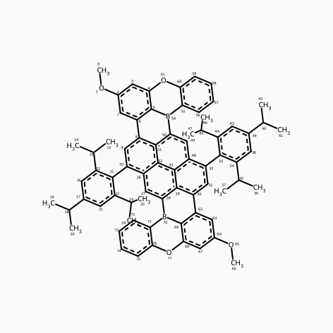 COc1cc2c3c(c1)-c1cc(-c4c(C(C)C)cc(C(C)C)cc4C(C)C)c4cc5c6c(cc(-c7c(C(C)C)cc(C(C)C)cc7C(C)C)c7cc(c1c4c76)B3c1ccccc1O2)-c1cc(OC)cc2c1B5c1ccccc1O2